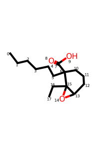 CCCCCCC1(C(=O)O)CCCC2OC21CC